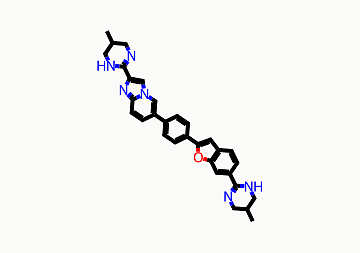 CC1CN=C(c2ccc3cc(-c4ccc(-c5ccc6nc(C7=NCC(C)CN7)cn6c5)cc4)oc3c2)NC1